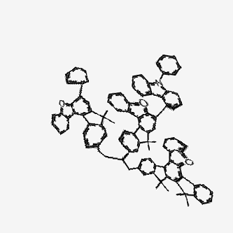 CC1(C)c2cc(CC(Cc3ccc4c(c3)C(C)(C)c3c5c(c6oc7ccccc7c6c3-4)-c3ccccc3C5(C)C)c3ccc4c(c3)C(C)(C)c3cc(-c5cccc6c5c5ccccc5n6-c5ccccc5)c5oc6ccccc6c5c3-4)ccc2-c2c1cc(-c1ccccc1)c1oc3ccccc3c21